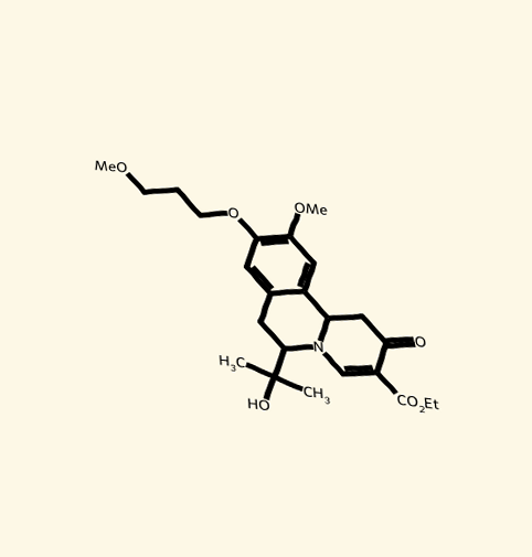 CCOC(=O)C1=CN2C(CC1=O)c1cc(OC)c(OCCCOC)cc1CC2C(C)(C)O